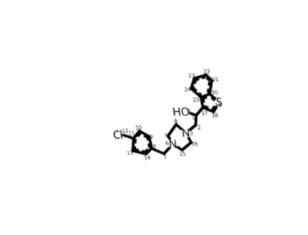 OC(CN1CCN(Cc2ccc(Cl)cc2)CC1)c1csc2ccccc12